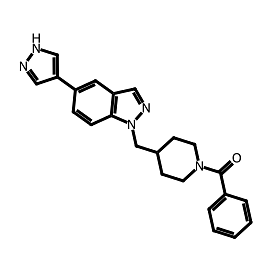 O=C(c1ccccc1)N1CCC(Cn2ncc3cc(-c4cn[nH]c4)ccc32)CC1